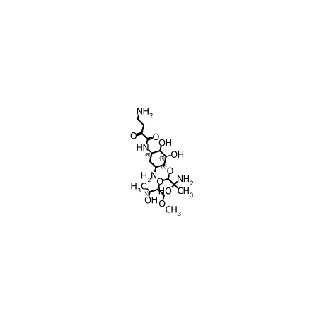 COCC(OC(O[C@@H]1C(N)C[C@@H](NC(=O)C(=O)CCN)C(O)[C@H]1O)C(C)(N)O)[C@H](C)O